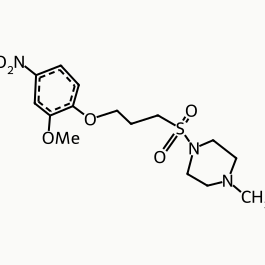 COc1cc([N+](=O)[O-])ccc1OCCCS(=O)(=O)N1CCN(C)CC1